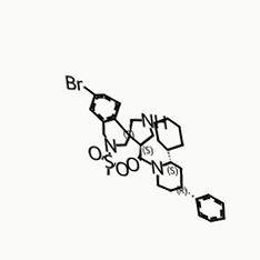 CS(=O)(=O)N1Cc2cc(Br)ccc2[C@@]2(CNC[C@H]2C(=O)N2CC[C@@H](c3ccccc3)C[C@H]2C2CCCCC2)C1